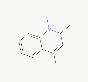 CC1=CC(C)N(C)c2ccccc21